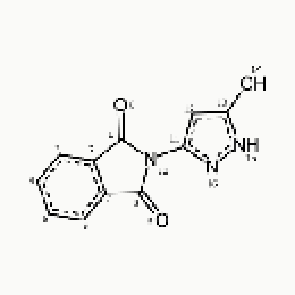 O=C1c2ccccc2C(=O)N1c1cc(O)[nH]n1